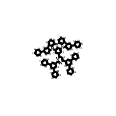 c1ccc(-c2cc(-c3ccccc3)cc(-c3cc(-c4cc5c6c(c4)-n4c7ccc(-c8ccccc8)cc7c7cccc(c74)B6c4cccc6c7cc(-c8ccccc8)ccc7n-5c46)nc(-c4cc(-c5ccccc5)cc(-c5ccccc5)c4)n3)c2)cc1